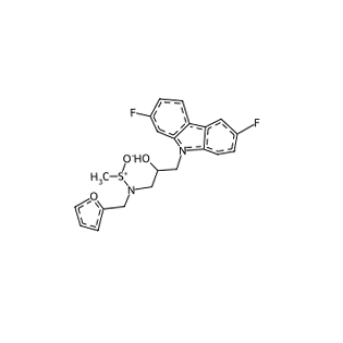 C[S+]([O-])N(Cc1ccco1)CC(O)Cn1c2ccc(F)cc2c2ccc(F)cc21